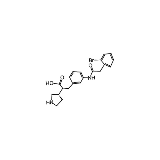 O=C(Cc1ccccc1Br)Nc1cccc(C[C@H](C(=O)O)[C@H]2CCNC2)c1